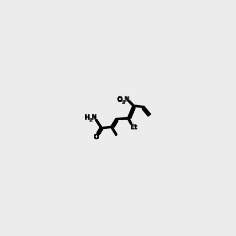 C=C/C(=C(/C=C(\C)C(N)=O)CC)[N+](=O)[O-]